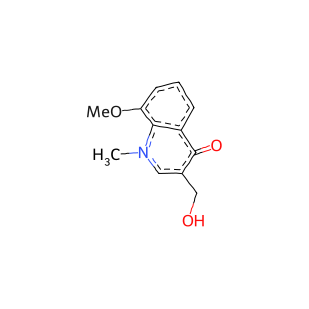 COc1cccc2c(=O)c(CO)cn(C)c12